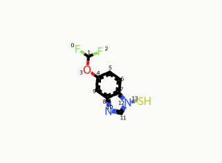 FC(F)Oc1ccc2c(c1)ncn2S